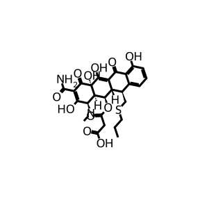 CCCSC[C@@H]1c2cccc(O)c2C(=O)C2=C(O)[C@]3(O)C(=O)C(C(N)=O)=C(O)[C@H](N(C)C)[C@@H]3[C@H](OC(=O)CC(=O)O)[C@H]21